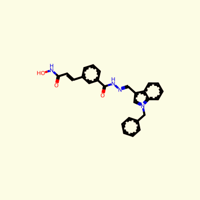 O=C(/C=C/c1cccc(C(=O)N/N=C/c2cn(Cc3ccccc3)c3ccccc23)c1)NO